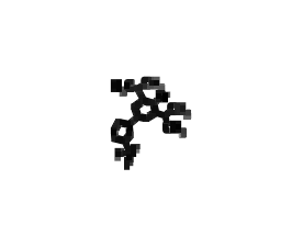 CC(C)c1cc(-c2cccc(C(F)(F)F)c2)cc(C(C)C)c1Br